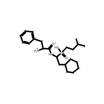 CC(C)CCP(=O)(O)C(CC1CCCCC1)NC(=O)C(N)Cc1ccccc1